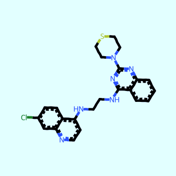 Clc1ccc2c(NCCNc3nc(N4CCSCC4)nc4ccccc34)ccnc2c1